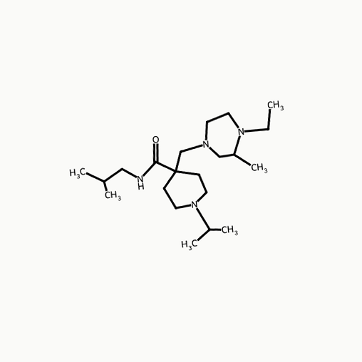 CCN1CCN(CC2(C(=O)NCC(C)C)CCN(C(C)C)CC2)CC1C